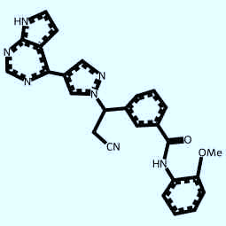 COc1ccccc1NC(=O)c1cccc(C(CC#N)n2cc(-c3ncnc4[nH]ccc34)cn2)c1